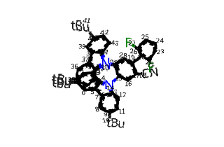 CC(C)(C)c1ccc2c(c1)c1cc(C(C)(C)C)ccc1n2-c1cc(C#N)c(-c2c(F)cccc2F)cc1-n1c2ccc(C(C)(C)C)cc2c2cc(C(C)(C)C)ccc21